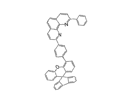 c1ccc(-c2ccc3ccc4ccc(-c5ccc(-c6cccc7c6Oc6ccccc6C76c7ccccc7-c7ccccc76)cc5)nc4c3n2)cc1